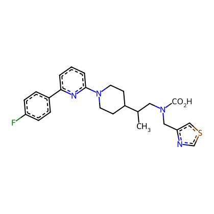 CC(CN(Cc1cscn1)C(=O)O)C1CCN(c2cccc(-c3ccc(F)cc3)n2)CC1